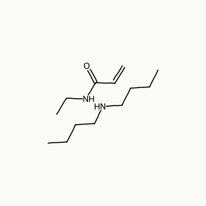 C=CC(=O)NCC.CCCCNCCCC